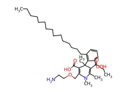 CCCCCCCCCCCCCCCc1cccc(OCC)c1C1(C)C(C(=O)O)=C(C)N(C)C(COCCN)=C1C(=O)O